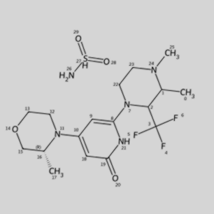 CC1C(C(F)(F)F)N(c2cc(N3CCOC[C@H]3C)cc(=O)[nH]2)CCN1C.N[SH](=O)=O